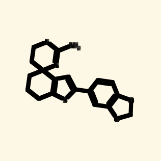 NC1=NC2(CCCc3sc(-c4ccc5c(c4)OCO5)cc32)CCS1